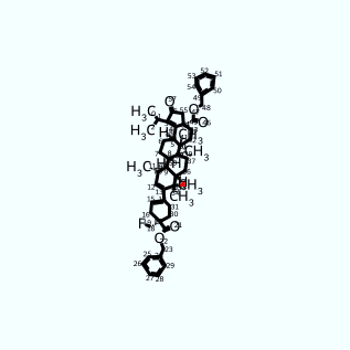 CC(C)C1=C2[C@H]3CC[C@H]4[C@H]5[C@@H](C)C=C(C6=CC[C@](CF)(C(=O)OCc7ccccc7)CC6)C(C)(C)[C@H]5CC[C@]4(C)[C@@]3(C)CC[C@]2(C(=O)OCc2ccccc2)CC1=O